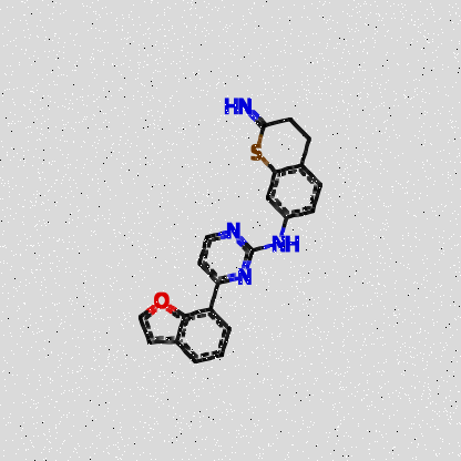 N=C1CCc2ccc(Nc3nccc(-c4cccc5ccoc45)n3)cc2S1